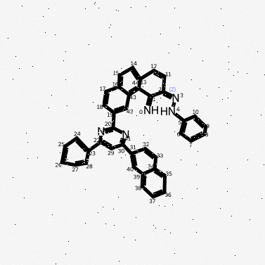 N=C1/C(=N\Nc2ccccc2)C=Cc2ccc3ccc(-c4nc(-c5ccccc5)cc(-c5ccc6ccccc6c5)n4)cc3c21